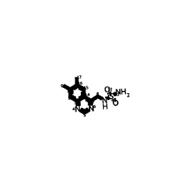 Cc1cc2ncnc(CNS(N)(=O)=O)c2cc1C